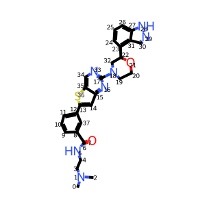 CN(C)CCNC(=O)c1cccc(-c2cc3nc(N4CCOC(c5cccc6[nH]ncc56)C4)ncc3s2)c1